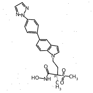 C[C@@](CCn1ccc2cc(-c3ccc(-n4nccn4)cc3)ccc21)(C(=O)NO)S(C)(=O)=O